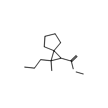 CCCC1(C)C(C(=O)OC)C12CCCC2